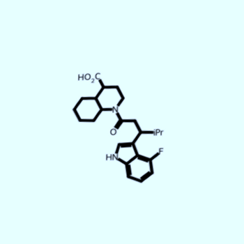 CC(C)C(CC(=O)N1CCC(C(=O)O)C2CCCCC21)c1c[nH]c2cccc(F)c12